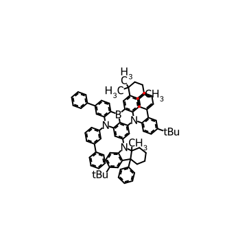 CC1CCC(C)(C)c2cc3c(cc21)N(c1ccc(C(C)(C)C)cc1C1=CC=C=C=C1)c1cc(N2c4ccc(C(C)(C)C)cc4C4(c5ccccc5)CCCCC24C)cc2c1B3c1ccc(-c3ccccc3)cc1N2c1cccc(-c2ccccc2)c1